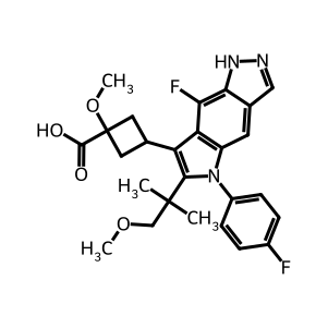 COCC(C)(C)c1c(C2CC(OC)(C(=O)O)C2)c2c(F)c3[nH]ncc3cc2n1-c1ccc(F)cc1